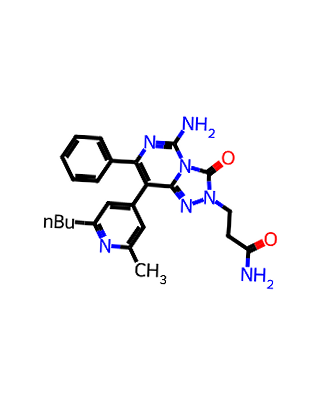 CCCCc1cc(-c2c(-c3ccccc3)nc(N)n3c(=O)n(CCC(N)=O)nc23)cc(C)n1